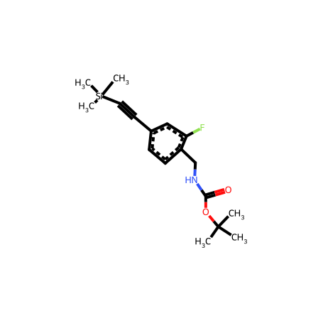 CC(C)(C)OC(=O)NCc1ccc(C#C[Si](C)(C)C)cc1F